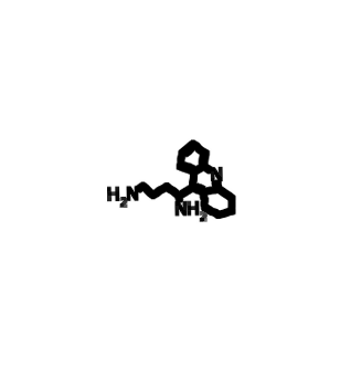 NCCCC(N)c1c2c(nc3ccccc13)CCCC2